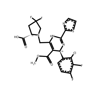 COC(=O)C1=C(CN2CC(F)(F)C[C@H]2C(=O)O)NC(c2nccs2)=N[C@H]1c1ccc(F)c(F)c1Cl